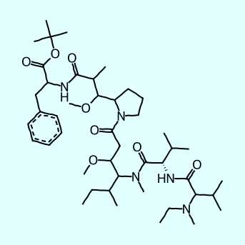 CCC(C)C(C(CC(=O)N1CCCC1C(OC)C(C)C(=O)NC(Cc1ccccc1)C(=O)OC(C)(C)C)OC)N(C)C(=O)[C@@H](NC(=O)C(C(C)C)N(C)CC)C(C)C